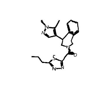 CCCc1nnc(C(=O)N2Cc3ccccc3C(c3cnn(C)c3C)C2)s1